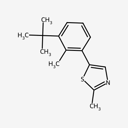 Cc1ncc(-c2cccc(C(C)(C)C)c2C)s1